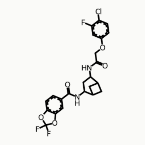 O=C(COc1ccc(Cl)c(F)c1)NC1CC(NC(=O)c2ccc3c(c2)OC(F)(F)O3)C2CC1C2